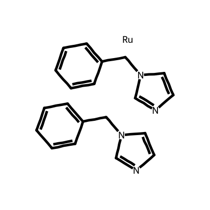 [Ru].c1ccc(Cn2ccnc2)cc1.c1ccc(Cn2ccnc2)cc1